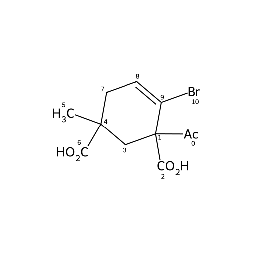 CC(=O)C1(C(=O)O)CC(C)(C(=O)O)CC=C1Br